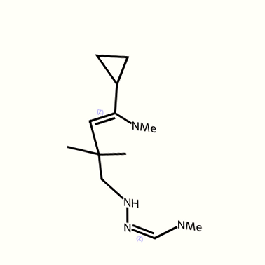 CN/C=N\NCC(C)(C)/C=C(\NC)C1CC1